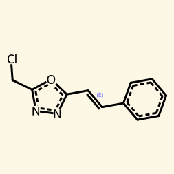 ClCc1nnc(/C=C/c2ccccc2)o1